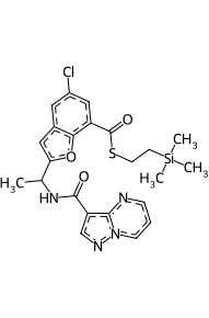 CC(NC(=O)c1cnn2cccnc12)c1cc2cc(Cl)cc(C(=O)SCC[Si](C)(C)C)c2o1